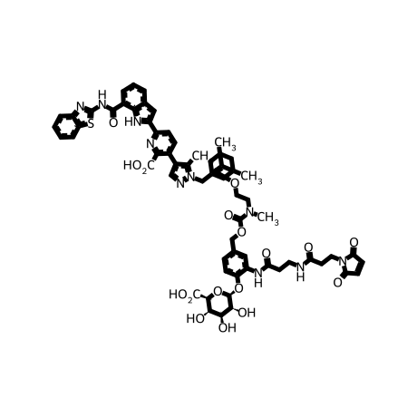 Cc1c(-c2ccc(-c3cc4cccc(C(=O)Nc5nc6ccccc6s5)c4[nH]3)nc2C(=O)O)cnn1CC12CC(OCCN(C)C(=O)OCc3ccc(O[C@@H]4O[C@H](C(=O)O)[C@@H](O)[C@H](O)[C@H]4O)c(NC(=O)CCNC(=O)CCN4C(=O)C=CC4=O)c3)=C3C(C)(C1)CC3(C)C2